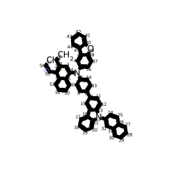 C=Cc1cc(N(c2ccc(-c3ccc4c(c3)c3ccccc3n4-c3ccc4ccccc4c3)cc2)c2ccc3oc4ccccc4c3c2)c2ccccc2c1/C=C\C